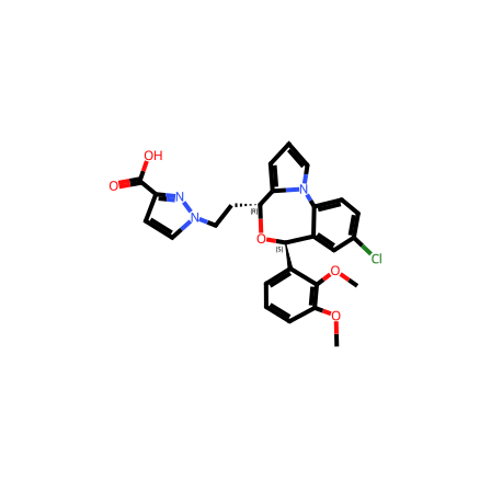 COc1cccc([C@H]2O[C@H](CCn3ccc(C(=O)O)n3)c3cccn3-c3ccc(Cl)cc32)c1OC